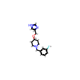 Fc1cccc(CN2CCC(OCc3c[nH]cn3)CC2)c1